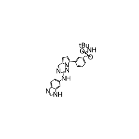 CC(C)(C)NS(=O)(=O)c1cccc(-c2ccc3cnc(Nc4ccc5nc[nH]c5c4)nn23)c1